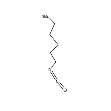 CCCCCCC[CH]CN=C=O